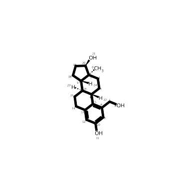 C[C@]12CC[C@@H]3c4c(CO)cc(O)cc4CC[C@H]3[C@@H]1CC[C@H]2O